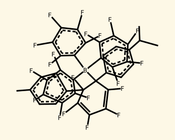 Cc1ccc(C2(F)C(F)=C(F)C(F)=C(F)C2(c2ccc(C(C)C)cc2)[B-](c2c(F)c(F)c(F)c(F)c2F)(c2c(F)c(F)c(F)c(F)c2F)c2c(F)c(F)c(F)c(F)c2F)cc1